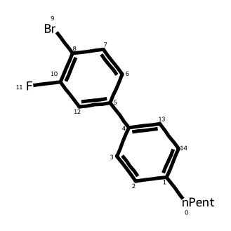 CCCCCc1ccc(-c2ccc(Br)c(F)c2)cc1